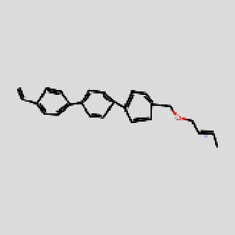 C=Cc1ccc(-c2ccc(-c3ccc(COC/C=C/C)cc3)cc2)cc1